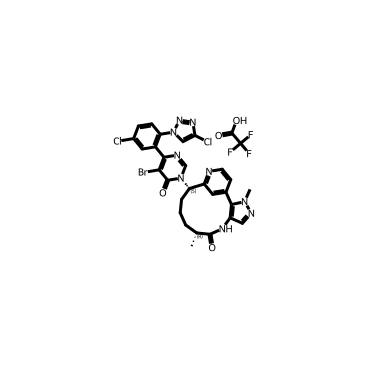 C[C@@H]1CCC[C@H](n2cnc(-c3cc(Cl)ccc3-n3cc(Cl)nn3)c(Br)c2=O)c2cc(ccn2)-c2c(cnn2C)NC1=O.O=C(O)C(F)(F)F